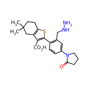 CC1(C)CCc2sc(-c3ccc(N4CCCC4=O)cc3CNN)c(C(=O)O)c2C1